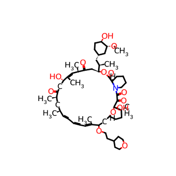 CO[C@@H]1C[C@H](C[C@@H](C)[C@@H]2CC(=O)[C@H](C)/C=C(\C)[C@@H](O)CC(=O)[C@H](C)C[C@H](C)/C=C/C=C/C=C(\C)C(OCCC3CCOCC3)C[C@@H]3CC[C@@H](C)[C@@](O)(O3)C(=O)C(=O)N3CCCC[C@H]3C(=O)O2)CC[C@H]1O